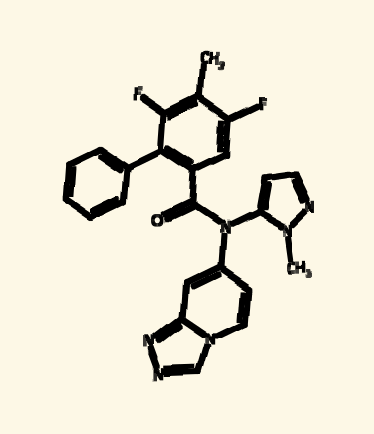 Cc1c(F)cc(C(=O)N(c2ccn3cnnc3c2)c2ccnn2C)c(-c2ccccc2)c1F